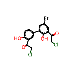 CCc1cc(C(=O)CCl)c(O)c(-c2ccc(O)c(C(=O)CCl)c2)c1